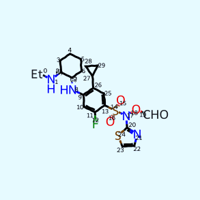 CCN[C@H]1CCCC[C@@H]1Nc1cc(F)c(S(=O)(=O)N(OC=O)c2nccs2)cc1C1CC1